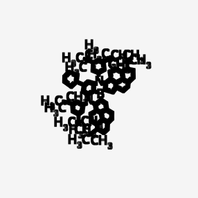 CC(C)(C)c1cc(N2c3cc(-c4ccccc4)cc4c3B(c3cc5ccc6ccc(C(C)(C)C)c7ccc(c32)c5c67)c2cc3ccc5ccc(C(C)(C)C)c6ccc(c2N4c2cc(C(C)(C)C)cc(C(C)(C)C)c2)c3c56)cc(C(C)(C)C)c1